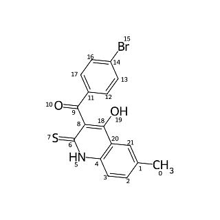 Cc1ccc2[nH]c(=S)c(C(=O)c3ccc(Br)cc3)c(O)c2c1